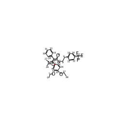 CCOc1ccc(N(CCc2ccc(C(F)(F)F)cc2)C(=O)C(C(=O)N(C)C)c2ccccc2)cc1OCC